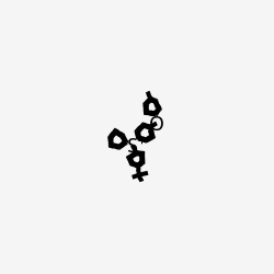 Cc1ccc(Oc2ccc([S+](c3ccccc3)c3ccc(C(C)(C)C)cc3)cc2)cc1